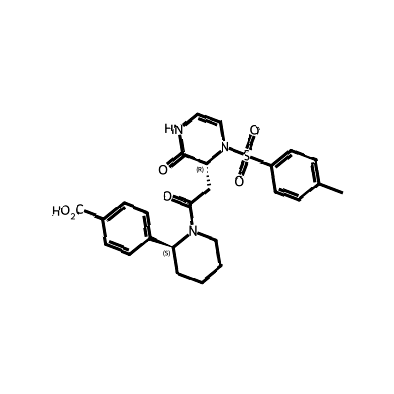 Cc1ccc(S(=O)(=O)N2C=CNC(=O)[C@H]2CC(=O)N2CCCC[C@H]2c2ccc(C(=O)O)cc2)cc1